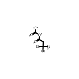 CCC(=O)OC(=O)CC(Br)(CC)CC